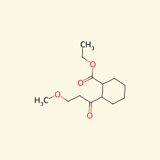 CCOC(=O)C1CCCCC1C(=O)CCOC